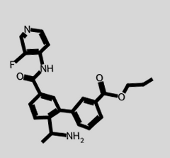 CCCOC(=O)c1cccc(-c2cc(C(=O)Nc3ccncc3F)ccc2C(C)N)c1